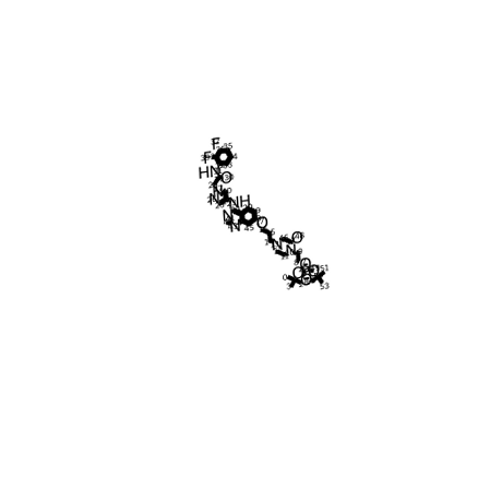 CC(C)(C)OP(=O)(OCCN1CCN(CCCOc2ccc3c(Nc4cnn(CC(=O)Nc5cccc(F)c5F)c4)ncnc3c2)CC1=O)OC(C)(C)C